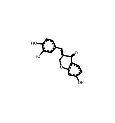 O=C1/C(=C/c2ccc(O)c(O)c2)COc2cc(O)ccc21